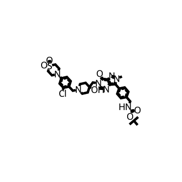 Cn1nc2c(=O)n(CC3(O)CCN(Cc4ccc(N5CCS(=O)(=O)CC5)cc4Cl)CC3)cnc2c1-c1ccc(CNC(=O)OC(C)(C)C)cc1